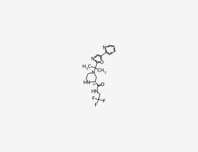 CC(C)(c1ncc(-c2ccccn2)o1)N1CCN[C@H](C(=O)NCC(F)(F)F)C1